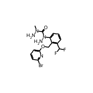 CN(N)C(=O)N(N)c1cccc(C(F)F)c1COc1cccc(Br)n1